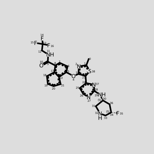 Cc1nc(Oc2ccc(C(=O)NCC(F)(F)F)c3ccccc23)c(-c2ccnc(N[C@@H]3CNC[C@@H](F)C3)n2)s1